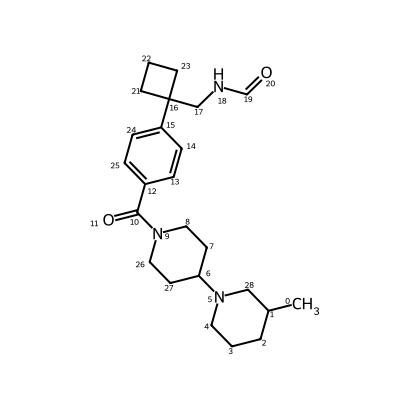 CC1CCCN(C2CCN(C(=O)c3ccc(C4(CNC=O)CCC4)cc3)CC2)C1